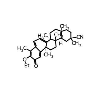 CCOC1=C(C)C2=CC=C3[C@@](C)(CC[C@@]4(C)[C@@H]5C[C@](C)(C#N)CC[C@]5(C)CC[C@]34C)C2=CC1=O